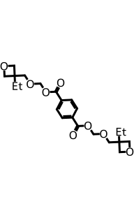 CCC1(COCOC(=O)c2ccc(C(=O)OCOCC3(CC)COC3)cc2)COC1